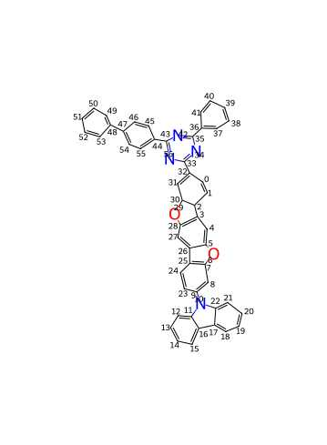 C1=CC2c3cc4oc5cc(-n6c7ccccc7c7ccccc76)ccc5c4cc3OC2C=C1c1nc(-c2ccccc2)nc(-c2ccc(-c3ccccc3)cc2)n1